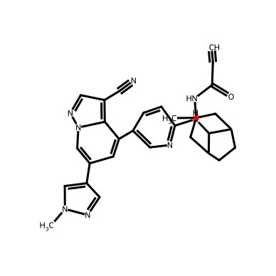 C#CC(=O)NC1(C)CC2CCC(C1)C2Nc1ccc(-c2cc(-c3cnn(C)c3)cn3ncc(C#N)c23)cn1